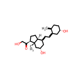 C=C1CC[C@H](O)C/C1=C/C=C1\C[C@H](O)C[C@]2(C)[C@@H](C(=O)CO)CC[C@@H]12